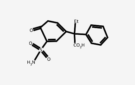 CCC(C(=O)O)(C1=CCC(=O)C(S(N)(=O)=O)=C1)c1ccccc1